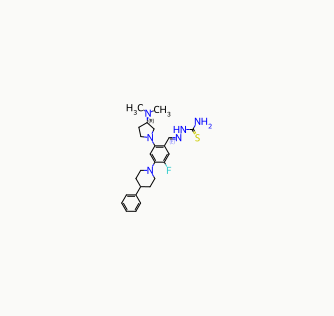 CN(C)[C@@H]1CCN(c2cc(N3CCC(c4ccccc4)CC3)c(F)cc2/C=N/NC(N)=S)C1